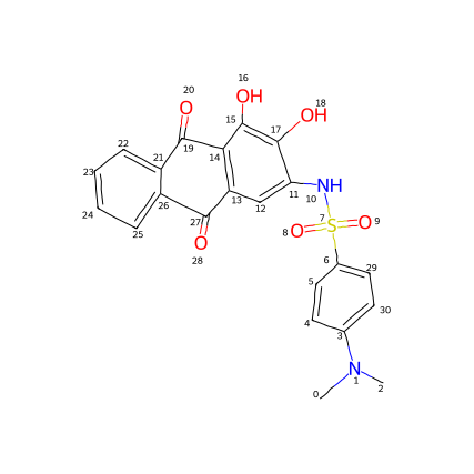 CN(C)c1ccc(S(=O)(=O)Nc2cc3c(c(O)c2O)C(=O)c2ccccc2C3=O)cc1